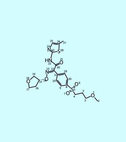 COCCCS(=O)(=O)c1ccc(/C(=N\O[C@@H]2CCOC2)C(=O)Nc2ncc(C)s2)cc1